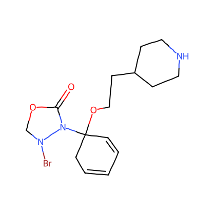 O=C1OCN(Br)N1C1(OCCC2CCNCC2)C=CC=CC1